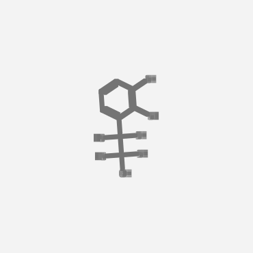 OC(S)(S)C(S)(S)c1cccc(S)c1S